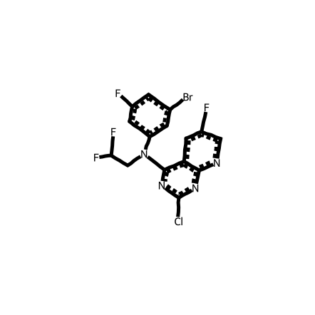 Fc1cc(Br)cc(N(CC(F)F)c2nc(Cl)nc3ncc(F)cc23)c1